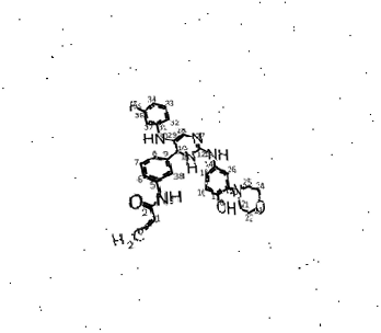 C=CC(=O)Nc1cccc(C2NC(Nc3ccc(O)c(N4CCOCC4)c3)=NC=C2Nc2cccc(F)c2)c1